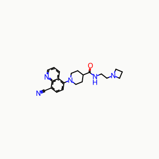 N#Cc1ccc(N2CCC(C(=O)NCCN3CCC3)CC2)c2cccnc12